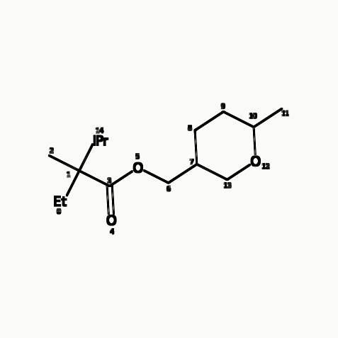 CCC(C)(C(=O)OCC1CCC(C)OC1)C(C)C